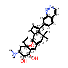 CN(C)[C@H]1C[C@@]23CC[C@@]4(O2)C(=CC(C)(C)[C@]2(C)C(c5ccc6ccnnc6c5)=CCC42)C=C3[C@@H](O)[C@@H]1O